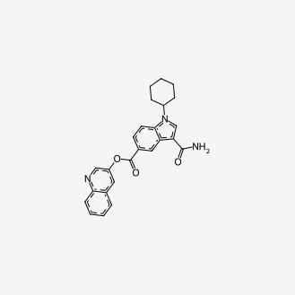 NC(=O)c1cn(C2CCCCC2)c2ccc(C(=O)Oc3cnc4ccccc4c3)cc12